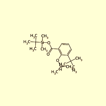 C[SiH](C)Oc1c(C(=O)O[Si](C)(C)C(C)(C)C)cccc1C(C)(C)C